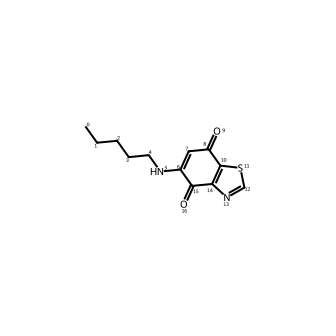 CCCCCNC1=CC(=O)c2scnc2C1=O